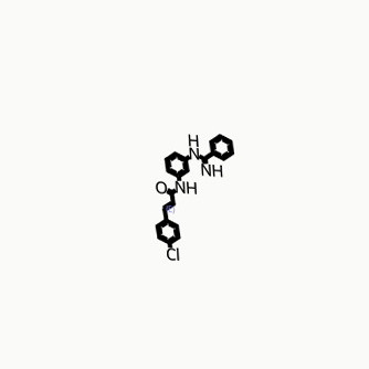 N=C(Nc1cccc(NC(=O)/C=C/c2ccc(Cl)cc2)c1)c1ccccc1